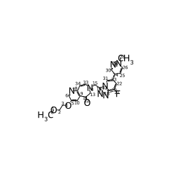 COCCOc1cnc2c(c1)C(=O)CN(Cc1nnc3c(F)cc(C4C=CN(C)N=C4)cn13)C=C2